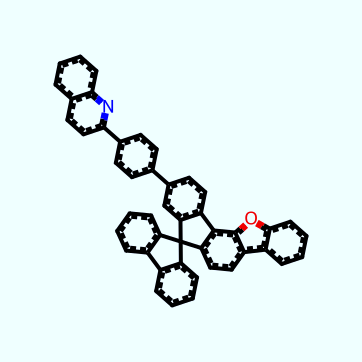 c1ccc2c(c1)-c1ccccc1C21c2cc(-c3ccc(-c4ccc5ccccc5n4)cc3)ccc2-c2c1ccc1c2oc2ccccc21